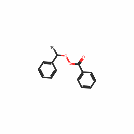 N#CC(OOC(=O)c1ccccc1)c1ccccc1